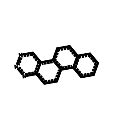 c1ccc2c(c1)ccc1c3cnnnc3ccc21